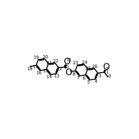 CC(=O)c1ccc2cc(OC(=O)c3ccc4cc(C)ccc4c3)ccc2c1